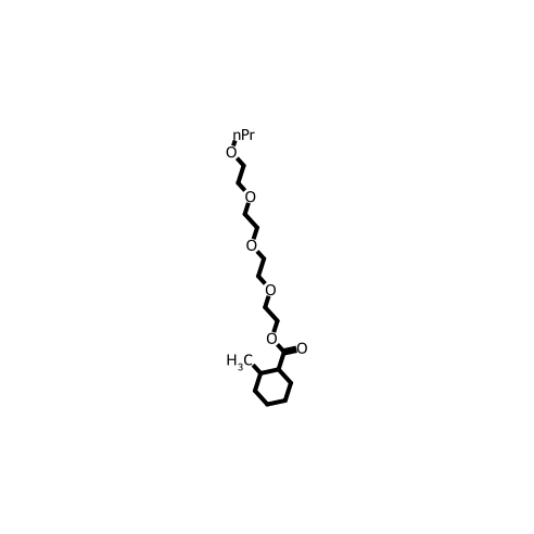 CCCOCCOCCOCCOCCOC(=O)C1CCCCC1C